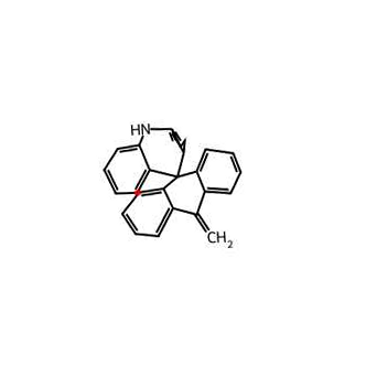 C=C1c2ccccc2C2(c3ccccc3Nc3ccccc32)c2ccccc21